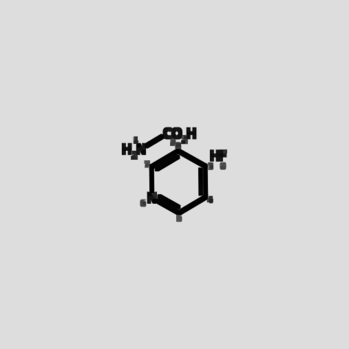 F.NC(=O)O.c1ccncc1